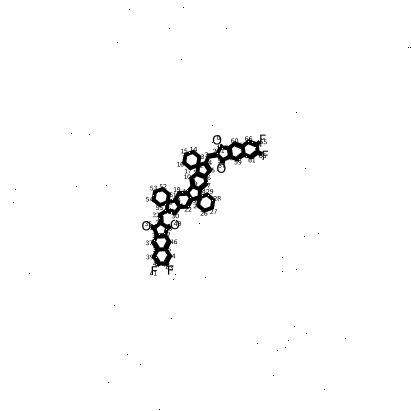 O=C1C(=CC2=Cc3cc4c(cc3C23CCCCC3)-c2cc3c(cc2C42CCCCC2)C=C(C=C2C(=O)c4cc5cc(F)c(F)cc5cc4C2=O)C32CCCCC2)C(=O)c2cc3cc(F)c(F)cc3cc21